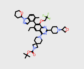 CCc1cc2c(N3CCC4(CC3)CN(C(=O)OC(C)(C)C)C4)nc(C3CCN(C4COC4)CC3)nc2c(OCC(F)(F)F)c1-c1c(C)ccc2c1cnn2C1CCCCO1